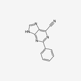 N#Cc1nc(-c2ccccc2)nc2[nH]cnc12